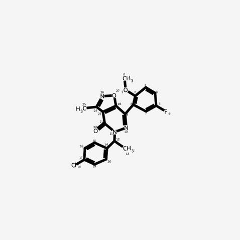 COc1ccc(F)cc1-c1nn(C(C)c2ccc(Cl)cc2)c(=O)c2c(C)noc12